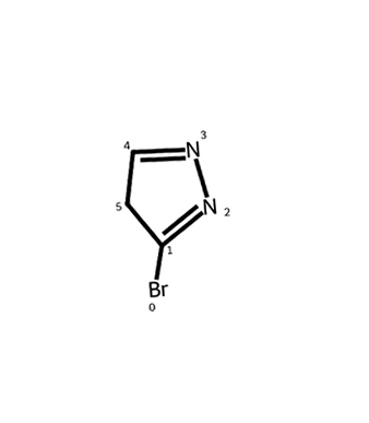 BrC1=NN=CC1